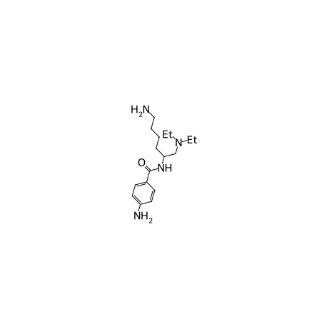 CCN(CC)CC(CCCCN)NC(=O)c1ccc(N)cc1